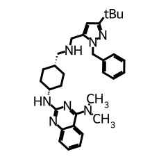 CN(C)c1nc(N[C@H]2CC[C@@H](CNCc3cc(C(C)(C)C)nn3Cc3ccccc3)CC2)nc2ccccc12